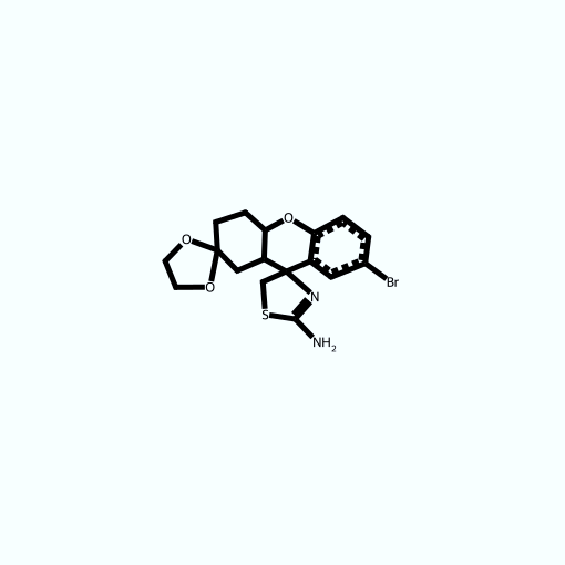 NC1=NC2(CS1)c1cc(Br)ccc1OC1CCC3(CC12)OCCO3